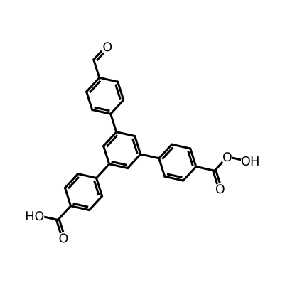 O=Cc1ccc(-c2cc(-c3ccc(C(=O)O)cc3)cc(-c3ccc(C(=O)OO)cc3)c2)cc1